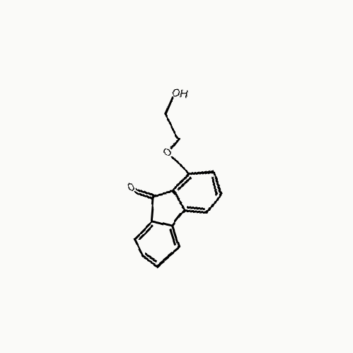 O=C1c2ccccc2-c2cccc(OCCO)c21